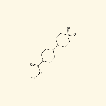 CC(C)(C)OC(=O)N1CCN(C2CCS(=N)(=O)CC2)CC1